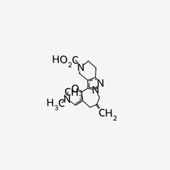 C=C1CC(=CN(C)C)C(=O)c2c3c(nn2C1)CCN(C(=O)O)C3